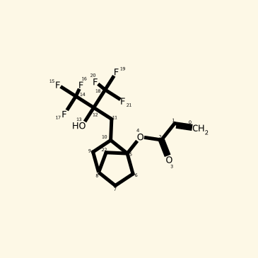 C=CC(=O)OC12CCC(CC1CC(O)(C(F)(F)F)C(F)(F)F)C2